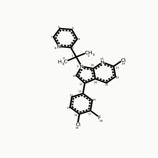 CC(C)(c1ccccn1)n1cc(-c2ccc(Cl)c(F)c2)c2ccc(Cl)nc21